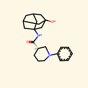 O=C(NC12CC3CC(CC(O)(C3)C1)C2)[C@H]1CCCN(c2ccccc2)C1